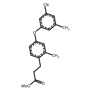 COC(=O)CCc1ccc(Oc2cc(C)cc(C#N)c2)cc1C